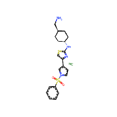 Cl.NC[C@H]1CC[C@H](Nc2nc(-c3ccn(S(=O)(=O)c4ccccc4)c3)cs2)CC1